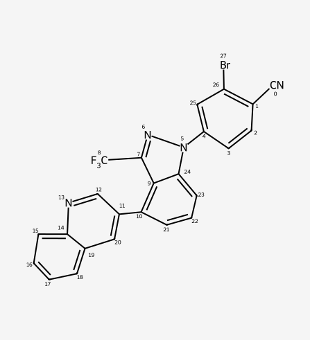 N#Cc1ccc(-n2nc(C(F)(F)F)c3c(-c4cnc5ccccc5c4)cccc32)cc1Br